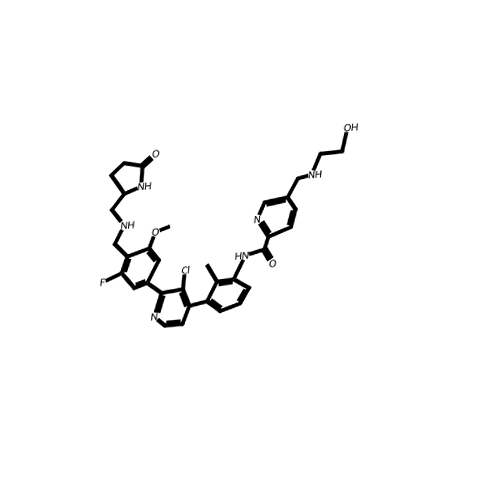 COc1cc(-c2nccc(-c3cccc(NC(=O)c4ccc(CNCCO)cn4)c3C)c2Cl)cc(F)c1CNCC1CCC(=O)N1